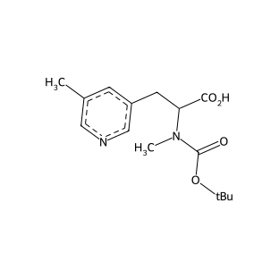 Cc1cncc(CC(C(=O)O)N(C)C(=O)OC(C)(C)C)c1